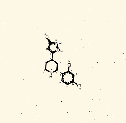 O=c1cc([C@@H]2CCN[C@@H](c3ccc(Cl)cc3Cl)C2)o[nH]1